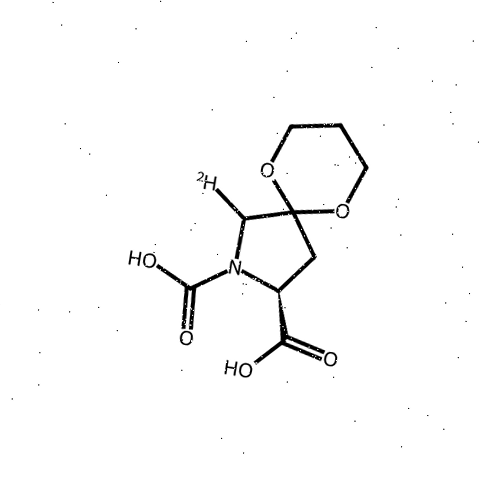 [2H]C1N(C(=O)O)[C@H](C(=O)O)CC12OCCCO2